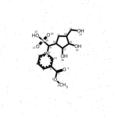 COC(=O)c1ccc[n+](C(C2CC(CO)C(O)C2O)S(=O)(=O)O)c1